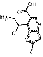 CCC(Cl)c1c(C(=O)O)cnc2cc(Cl)nn12